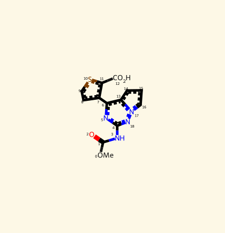 COC(=O)Nc1nc(-c2ccsc2C(=O)O)c2cccn2n1